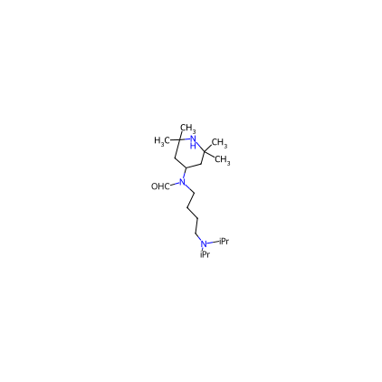 CC(C)N(CCCCN(C=O)C1CC(C)(C)NC(C)(C)C1)C(C)C